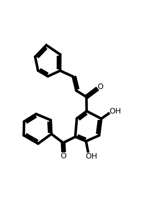 O=C(C=Cc1ccccc1)c1cc(C(=O)c2ccccc2)c(O)cc1O